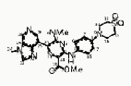 CNc1nc(Nc2ccc(N3CCS(=O)(=O)CC3)cc2)c(C(=O)OC)nc1-c1cncc2c1ncn2C